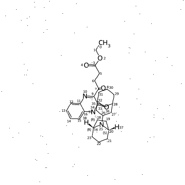 CCOC(=O)CCC(=O)c1nc2ccccc2n([C@@H]2C[C@@H]3CCC[C@H]2N3C2CC3CCCC(C3)C2)c1=O